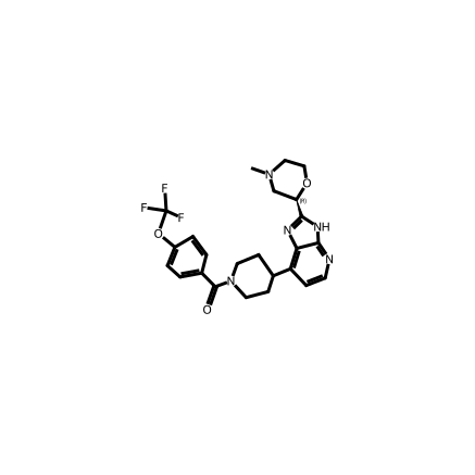 CN1CCO[C@@H](c2nc3c(C4CCN(C(=O)c5ccc(OC(F)(F)F)cc5)CC4)ccnc3[nH]2)C1